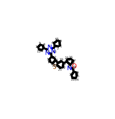 c1ccc(-c2nc(-c3ccccc3)nc(-c3ccc4sc5ccc(-c6cccc7oc(-c8ccccc8)nc67)cc5c4c3)n2)cc1